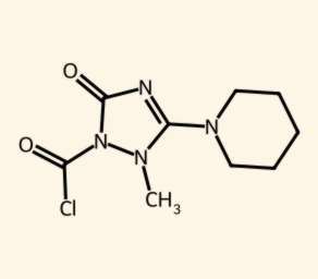 Cn1c(N2CCCCC2)nc(=O)n1C(=O)Cl